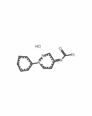 CCC(=O)/N=c1/ccn(-c2ccccc2)nc1.Cl